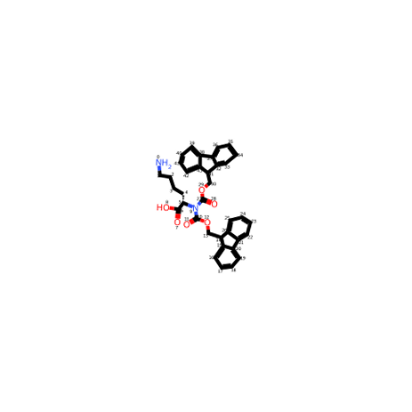 NCCCC[C@@H](C(=O)O)N(C(=O)OCC1c2ccccc2-c2ccccc21)C(=O)OCC1c2ccccc2-c2ccccc21